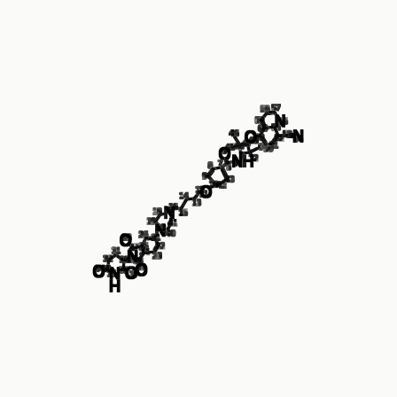 CC1(C)[C@H](NC(=O)c2ccc(OCCCCCN3CCN(c4ccc5c(c4)C(=O)N(C4CCC(=O)NC4=O)C5=O)CC3)cc2)C(C)(C)[C@H]1Oc1ccc(C#N)c2ncccc12